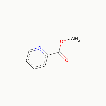 O=C([O][AlH2])c1ccccn1